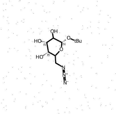 CC(C)(C)O[C@@H]1OC(CN=[N+]=[N-])[C@H](O)[C@H](O)C1O